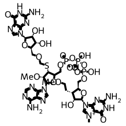 COCC[C@H]1[C@@H](O)[C@H](n2c[n+](C)c3c(=O)[nH]c(N)nc32)O[C@@H]1COP(=O)(O)OP(=O)(O)OP(=O)(O)OCC1O[C@@H](n2cnc3c(N)ncnc32)[C@H](OC)[C@@H]1SCOC[C@H]1O[C@@H](n2cnc3c(=O)[nH]c(N)nc32)[C@H](O)[C@@H]1O